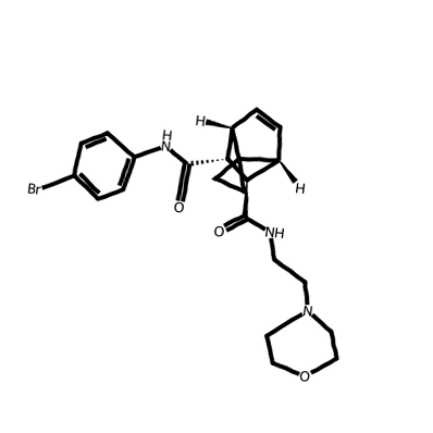 O=C(NCCN1CCOCC1)[C@H]1[C@H](C(=O)Nc2ccc(Br)cc2)[C@@H]2C=C[C@H]1C21CC1